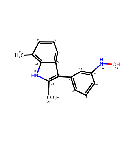 Cc1cccc2c(-c3cccc(NO)c3)c(C(=O)O)[nH]c12